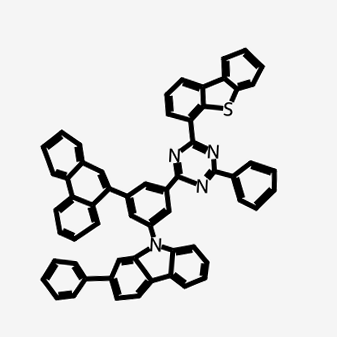 c1ccc(-c2ccc3c4ccccc4n(-c4cc(-c5nc(-c6ccccc6)nc(-c6cccc7c6sc6ccccc67)n5)cc(-c5cc6ccccc6c6ccccc56)c4)c3c2)cc1